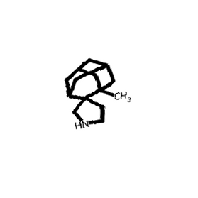 CC12CC3CC(CC(C3)C13CCNC3)C2